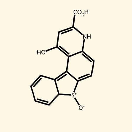 O=C(O)C1=CC(O)=c2c(ccc3c2=C2C=CC=CC2[S+]3[O-])N1